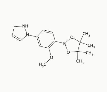 COc1cc(N2C=CCN2)ccc1B1OC(C)(C)C(C)(C)O1